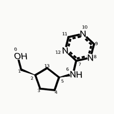 OC[C@@H]1CC[C@H](Nc2ncncn2)C1